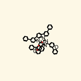 c1ccc(-c2ccc3c(c2)c2ccc4c5cc(-c6ccccc6)ccc5n(-c5nc(-c6ccc7oc8ccccc8c7c6)nc(-c6ccc7oc8ccccc8c7c6)n5)c4c2n3-c2cnc3ccc4cccnc4c3c2)cc1